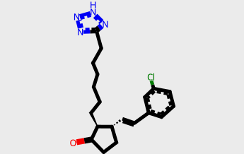 O=C1CC[C@@H](C=Cc2cccc(Cl)c2)[C@@H]1CCCCCCc1nn[nH]n1